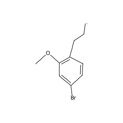 [CH2]CCc1ccc(Br)cc1OC